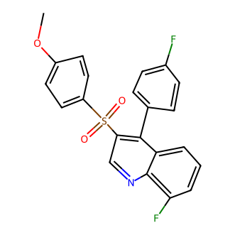 COc1ccc(S(=O)(=O)c2cnc3c(F)cccc3c2-c2ccc(F)cc2)cc1